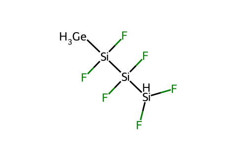 F[SiH](F)[Si](F)(F)[Si](F)(F)[GeH3]